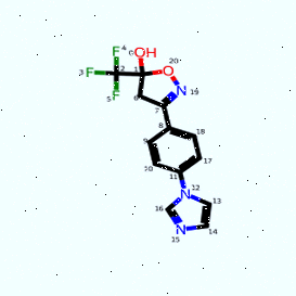 OC1(C(F)(F)F)CC(c2ccc(-n3ccnc3)cc2)=NO1